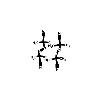 CC(C)(C#N)/N=N/C(C)(C)C#N.CC(C)(C#N)/N=N/C(C)(C)C#N